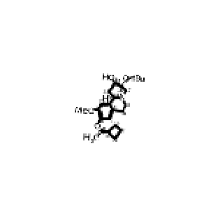 COc1cc2c(cc1O[C@@H](C)C1CCC1)CCN1C[C@@H](OC(C)(C)C)[C@H](O)C[C@H]21